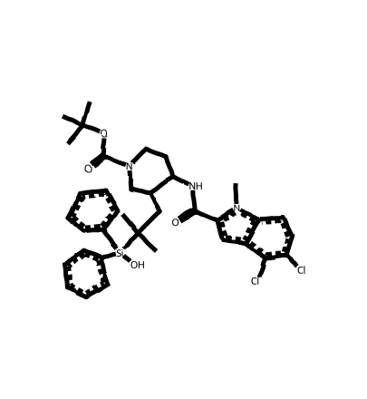 Cn1c(C(=O)NC2CCN(C(=O)OC(C)(C)C)CC2CC(C)(C)[Si](O)(c2ccccc2)c2ccccc2)cc2c(Cl)c(Cl)ccc21